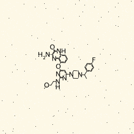 COCCNc1nc(Oc2cccc3[nH]c(=O)c(N)nc23)cc(N2CCN(C(C)c3ccc(F)cc3)CC2)n1